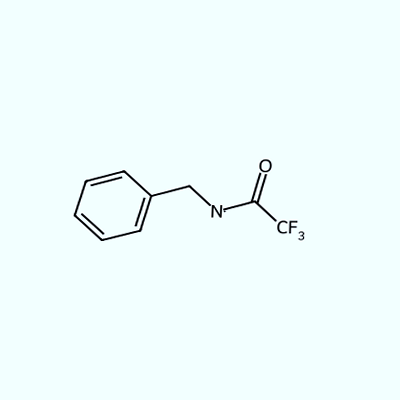 O=C([N]Cc1ccccc1)C(F)(F)F